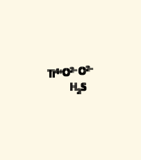 S.[O-2].[O-2].[Ti+4]